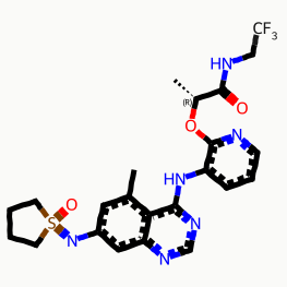 Cc1cc(N=S2(=O)CCCC2)cc2ncnc(Nc3cccnc3O[C@H](C)C(=O)NCC(F)(F)F)c12